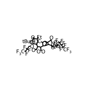 CCC(CC(C(=O)OCC(F)(F)C(F)C(F)(F)F)C1C(=O)OC(=O)C1C1C(C)C2CC1C1C(=O)N(OS(=O)(=O)C(F)(F)C(F)(F)C(F)(F)C(F)(F)F)C(=O)C21)C(=O)OC(C)(C)C